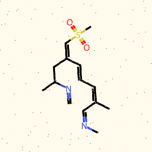 C=NC(C)CC(=C/S(C)(=O)=O)/C=C/C=C(C)\C=N/C